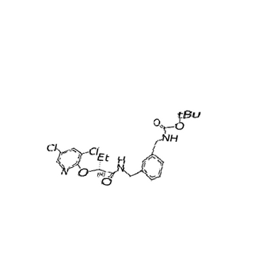 CC[C@@H](Oc1ncc(Cl)cc1Cl)C(=O)NCc1cccc(CNC(=O)OC(C)(C)C)c1